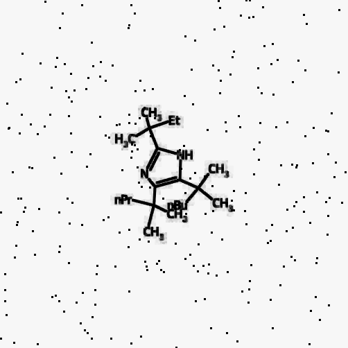 CCCCC(C)(C)c1[nH]c(C(C)(C)CC)nc1C(C)(C)CCC